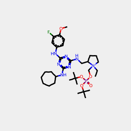 CC[N+]1(COP(=O)(OC(C)(C)C)OC(C)(C)C)CCCC1CNc1nc(Nc2ccc(OC)c(F)c2)nc(NC2CCCCCC2)n1